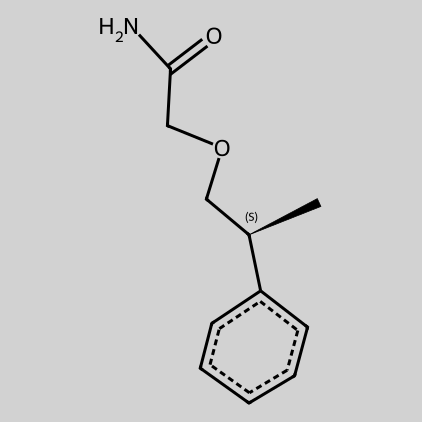 C[C@H](COCC(N)=O)c1ccccc1